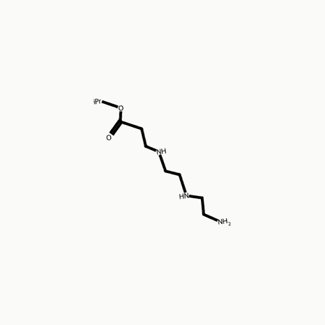 CC(C)OC(=O)CCNCCNCCN